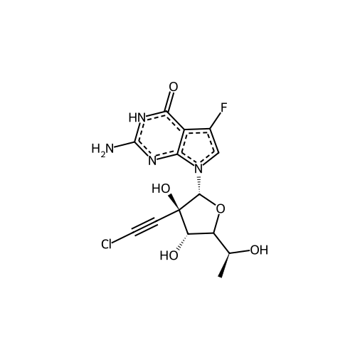 C[C@H](O)C1O[C@@H](n2cc(F)c3c(=O)[nH]c(N)nc32)[C@@](O)(C#CCl)[C@H]1O